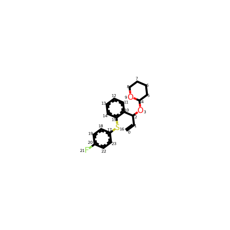 C=CC(OC1CCCCO1)c1ccccc1Sc1ccc(F)cc1